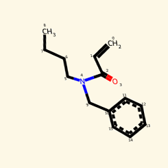 C=CC(=O)N(CCCC)Cc1ccccc1